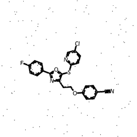 N#Cc1ccc(OCCc2nc(-c3ccc(F)cc3)oc2Sc2ccc(Cl)cn2)cc1